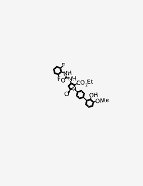 CCOC(=O)c1c(NC(=O)Nc2c(F)cccc2F)cc(Cl)n1-c1ccc(-c2cccc(OC)c2O)cc1